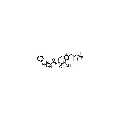 CN1C(=O)C(NC(=O)c2ncn(Cc3ccccc3)n2)CCn2nc(CNCC(F)(F)F)cc21